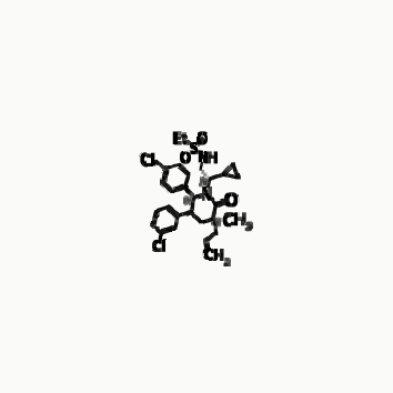 C=CC[C@@]1(C)CC(c2cccc(Cl)c2)[C@@H](c2ccc(Cl)cc2)N([C@H](CNS(=O)(=O)CC)C2CC2)C1=O